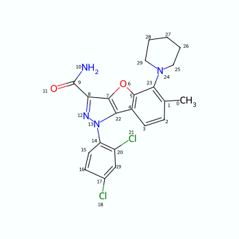 Cc1ccc2c(oc3c(C(N)=O)nn(-c4ccc(Cl)cc4Cl)c32)c1N1CCCCC1